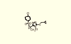 CCn1c(SCC2CC2)nnc1[C@@H](C)NS(=O)(=O)c1ccc(Cl)cc1